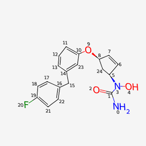 NC(=O)N(O)[C@@H]1C=C[C@H](Oc2cccc(Cc3ccc(F)cc3)c2)C1